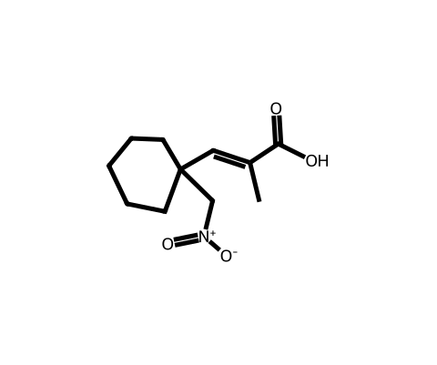 CC(=CC1(C[N+](=O)[O-])CCCCC1)C(=O)O